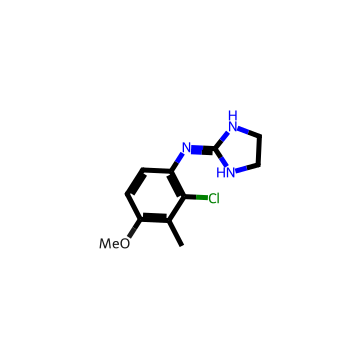 COc1ccc(N=C2NCCN2)c(Cl)c1C